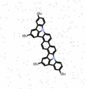 CC(C)(C)c1ccc2c(c1)c1cc(C(C)(C)C)cc3c4c5ccc6c(ccc7c6c6cc(C(C)(C)C)cc8c9cc(C(C)(C)C)ccc9n7c86)c5ccc4n2c13